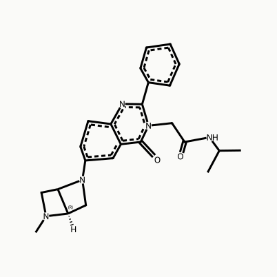 CC(C)NC(=O)Cn1c(-c2ccccc2)nc2ccc(N3C[C@@H]4C3CN4C)cc2c1=O